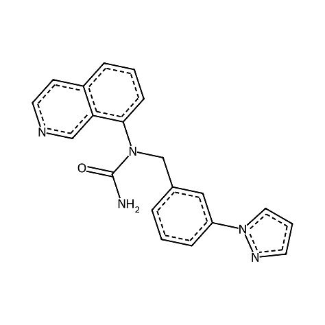 NC(=O)N(Cc1cccc(-n2cccn2)c1)c1cccc2ccncc12